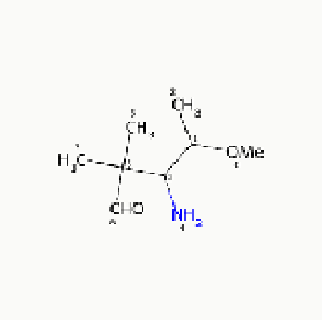 COC(C)C(N)C(C)(C)C=O